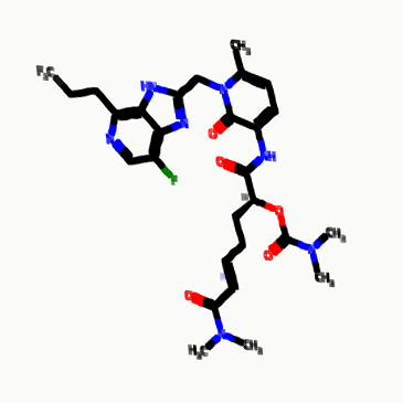 Cc1ccc(NC(=O)[C@H](CC/C=C/C(=O)N(C)C)OC(=O)N(C)C)c(=O)n1Cc1nc2c(F)cnc(CCC(F)(F)F)c2[nH]1